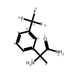 CC(N)(C(N)=O)c1cccc(C(F)(F)F)c1